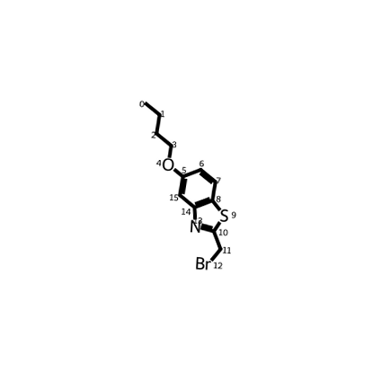 CCCCOc1ccc2sc(CBr)nc2c1